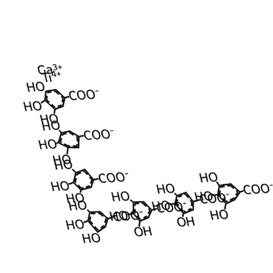 O=C([O-])c1cc(O)c(O)c(O)c1.O=C([O-])c1cc(O)c(O)c(O)c1.O=C([O-])c1cc(O)c(O)c(O)c1.O=C([O-])c1cc(O)c(O)c(O)c1.O=C([O-])c1cc(O)c(O)c(O)c1.O=C([O-])c1cc(O)c(O)c(O)c1.O=C([O-])c1cc(O)c(O)c(O)c1.[Ga+3].[Ti+4]